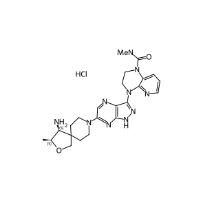 CNC(=O)N1CCN(c2n[nH]c3nc(N4CCC5(CC4)CO[C@@H](C)[C@H]5N)cnc23)c2ncccc21.Cl